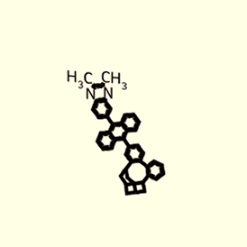 Cc1nc2ccc(-c3c4ccccc4c(-c4ccc5c(c4)C4CC6CC7CC(c8ccccc8-5)C67C4)c4ccccc34)cc2nc1C